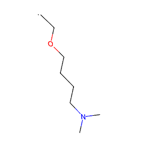 [CH2]COCCCCN(C)C